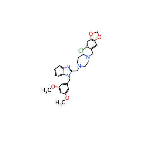 COc1cc(Cn2c(CN3CCCN(Cc4cc5c(cc4Cl)OCO5)CC3)nc3ccccc32)cc(OC)c1